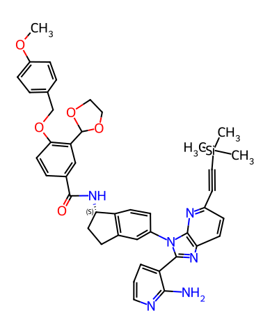 COc1ccc(COc2ccc(C(=O)N[C@H]3CCc4cc(-n5c(-c6cccnc6N)nc6ccc(C#C[Si](C)(C)C)nc65)ccc43)cc2C2OCCO2)cc1